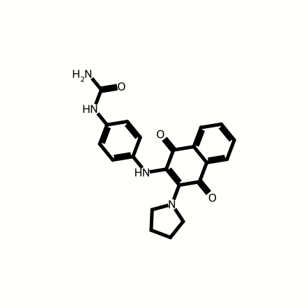 NC(=O)Nc1ccc(NC2=C(N3CCCC3)C(=O)c3ccccc3C2=O)cc1